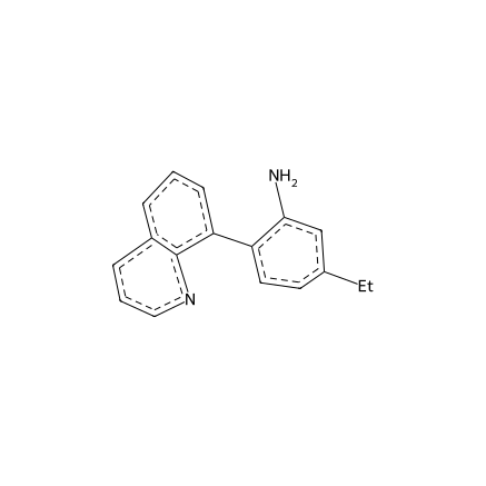 CCc1ccc(-c2cccc3cccnc23)c(N)c1